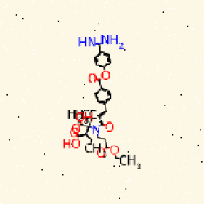 CCOC(=O)CCN(C(=O)/C(C)=C/c1ccc(C(=O)Oc2ccc(C(=N)N)cc2)cc1)[C@@](CC)(C(=O)O)C(CC)C(=O)O